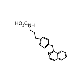 O=C(O)NCCCc1ccc(Cc2nccc3ccccc23)cc1